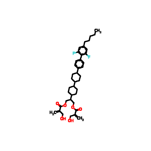 C=C(CO)C(=O)OCC(COC(=O)C(=C)CO)C1CCC(C2CCC(c3ccc(-c4c(F)cc(CCCCC)cc4F)cc3)CC2)CC1